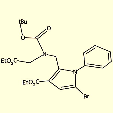 CCOC(=O)CN(Cc1c(C(=O)OCC)cc(Br)n1-c1ccccc1)C(=O)OC(C)(C)C